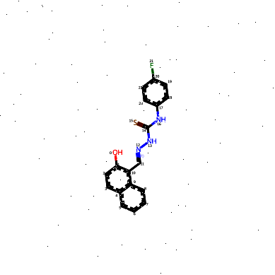 Oc1ccc2ccccc2c1/C=N/NC(=S)Nc1ccc(F)cc1